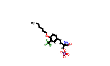 CCCCCCOc1ccc(CCC(N)(CO)COP(=O)(O)O)cc1C(F)(F)F